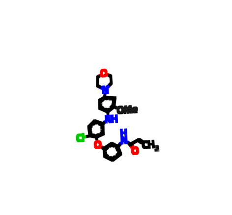 C=CC(=O)Nc1cccc(Oc2cc(Nc3ccc(N4CCOCC4)cc3OC)ccc2Cl)c1